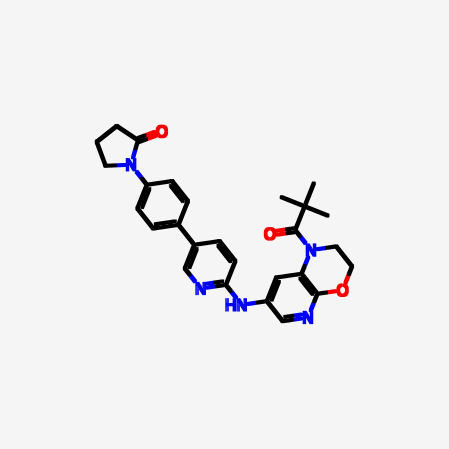 CC(C)(C)C(=O)N1CCOc2ncc(Nc3ccc(-c4ccc(N5CCCC5=O)cc4)cn3)cc21